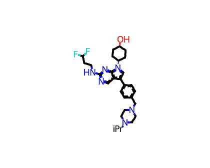 CC(C)N1CCN(Cc2ccc(-c3cn([C@H]4CC[C@H](O)CC4)c4nc(NCCC(F)F)ncc34)cc2)CC1